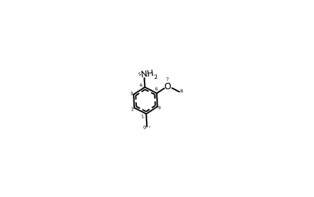 [CH2]c1ccc(N)c(OC)c1